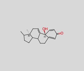 CC1CCC2C3CCC4=CC(=O)C=C[C@@]4(O)C3=CC[C@]12C